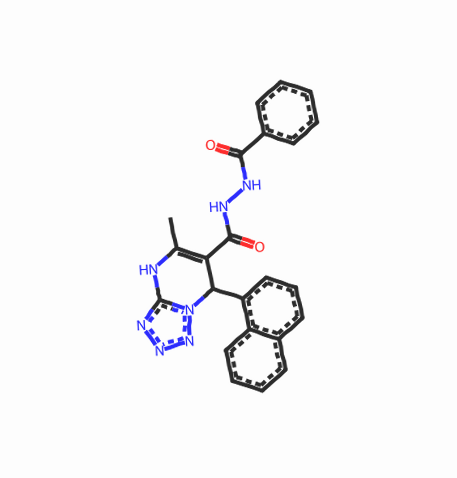 CC1=C(C(=O)NNC(=O)c2ccccc2)C(c2cccc3ccccc23)n2nnnc2N1